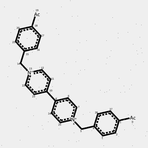 CC(=O)c1ccc(C[n+]2ccc(-c3cc[n+](Cc4ccc(C(C)=O)cc4)cc3)cc2)cc1